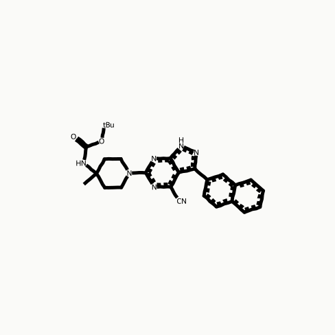 CC1(NC(=O)OC(C)(C)C)CCN(c2nc(C#N)c3c(-c4ccc5ccccc5c4)n[nH]c3n2)CC1